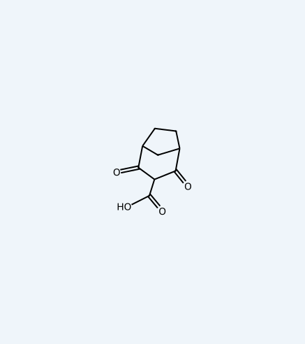 O=C(O)C1C(=O)C2CCC(C2)C1=O